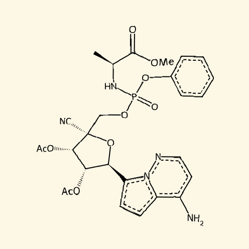 COC(=O)[C@H](C)NP(=O)(OC[C@@]1(C#N)O[C@@H](c2ccc3c(N)ccnn23)[C@H](OC(C)=O)[C@@H]1OC(C)=O)Oc1ccccc1